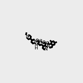 CCN1CCC(c2ccc(Nc3cc(-c4ccnc(-n5ccc6cc(C)cc(C)c6c5=O)c4C=O)nn(C)c3=O)nc2)CC1